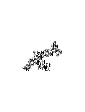 CCN(CC)c1cnnc(Nc2cc(CC(C)c3cnnc(Nc4ccc5ncc(-c6cn(C)nc6-c6cccnc6)cc5n4)c3)c3ncc(-c4cnn(C)c4)cc3n2)c1